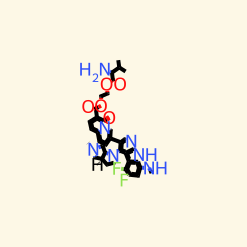 CNc1cc(F)c(F)c2c1[nH]c1ncc(-c3ccc4ccc(C(=O)OCCOC(=O)C(N)C(C)C)c(=O)n4c3)c(N3CC[C@H]4CN(C)CC43)c12